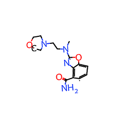 CN(CCN1CCOCC1)c1nc2c(C(N)=O)[c]ccc2o1